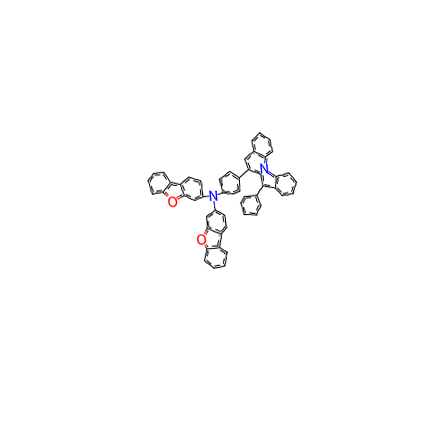 c1ccc(-c2c3ccccc3n3c2c(-c2ccc(N(c4ccc5c(c4)oc4ccccc45)c4ccc5c(c4)oc4ccccc45)cc2)cc2ccccc23)cc1